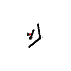 CCCCCCCCCCCCCCCCCC[N+](C)(C)CCCCCCCCCCCCCCCCCC.CCCCCCCCCCCC[N+](C)(C)C.[Br-].[Br-]